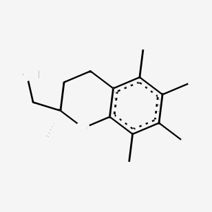 Cc1c(C)c(C)c2c(c1C)CC[C@](C)(CO)O2